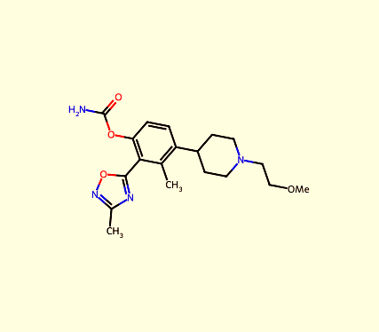 COCCN1CCC(c2ccc(OC(N)=O)c(-c3nc(C)no3)c2C)CC1